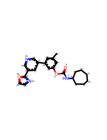 Cc1cc(OC(=O)NC2CCCCCC2)cc(-c2cncc(-c3ncco3)c2)c1